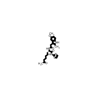 COc1ccc2[nH]c(C)c(CC(=O)N[C@@H](CCCCCC(C)=O)C(=O)Nc3nccs3)c2c1